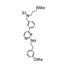 CCN(CCCNC)Cc1cccc(-c2ccnc(NCCc3cccc(OC)c3)n2)c1